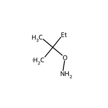 [CH2]C(C)(CC)ON